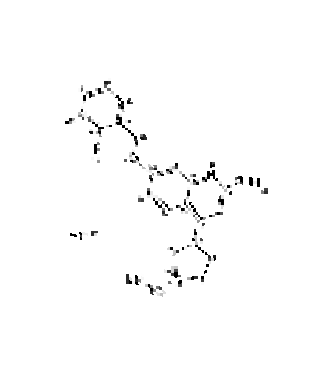 CCO[C@H]1CCN(c2cc(C)nc3cc(OCc4cccnc4F)ccc23)C1.Cl